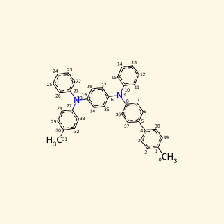 Cc1ccc(-c2ccc(N(c3ccccc3)c3ccc(N(c4ccccc4)c4ccc(C)cc4)cc3)cc2)cc1